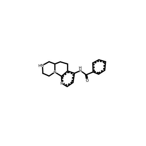 O=C(Nc1ccnc2c1CCC1CNCCN21)c1ccccc1